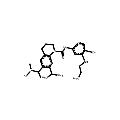 COCCNc1cc(NC(=O)N2CCCc3cc(C(C)N(C)C(C)=O)c(C(OC)OC)nc32)ncc1C#N